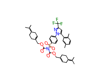 CC(C)=C1CC=C(COC(=O)N(C(=O)OCC2=CCC(=C(C)C)CC2)S(=O)(=O)c2ccc(-n3nc(C(F)(F)F)cc3-c3cc(C)ccc3C)cc2)CC1